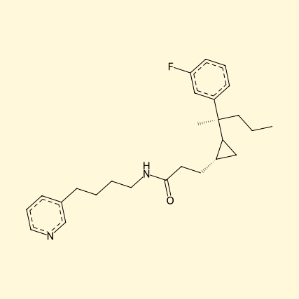 CCC[C@](C)(c1cccc(F)c1)C1C[C@@H]1CCC(=O)NCCCCc1cccnc1